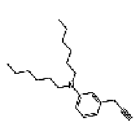 C#CCc1cccc(N(CCCCCC)CCCCCC)c1